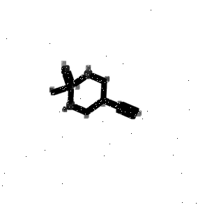 C#CC1COP(C)(=O)OC1